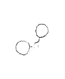 C1CCCCCC(CCNC2CCCCCCCCCC2)CCCC1